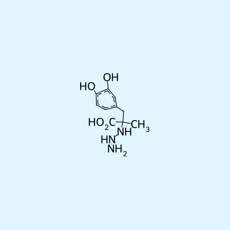 CC(Cc1ccc(O)c(O)c1)(NNN)C(=O)O